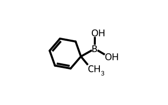 CC1(B(O)O)C=CC=CC1